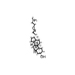 CN(C)CCO/N=C/C[C@H]1CC[C@H]2[C@@H]3CC[C@@H]4C[C@@H](O)CC[C@]4(C)[C@H]3CC[C@]12C